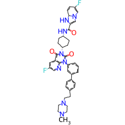 CN1CCN(CCc2ccc(-c3cccc(-n4c(=O)n([C@H]5CC[C@@H](NC(=O)C6=CN7C=C(F)C=CC7N6)CC5)c(=O)c5cc(F)cnc54)c3)cc2)CC1